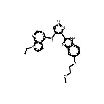 CCn1ccc2c(Nc3c[nH]nc3-c3nc4cc(OCCOC)ccc4[nH]3)ncnc21